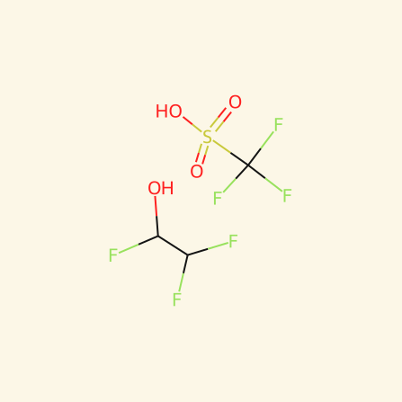 O=S(=O)(O)C(F)(F)F.OC(F)C(F)F